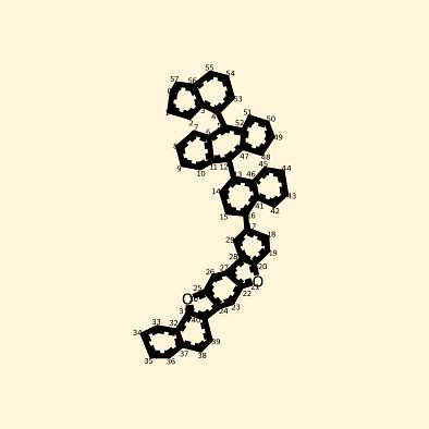 c1ccc2c(-c3c4ccccc4c(-c4ccc(-c5ccc6oc7cc8c(cc7c6c5)oc5c6ccccc6ccc85)c5ccccc45)c4ccccc34)cccc2c1